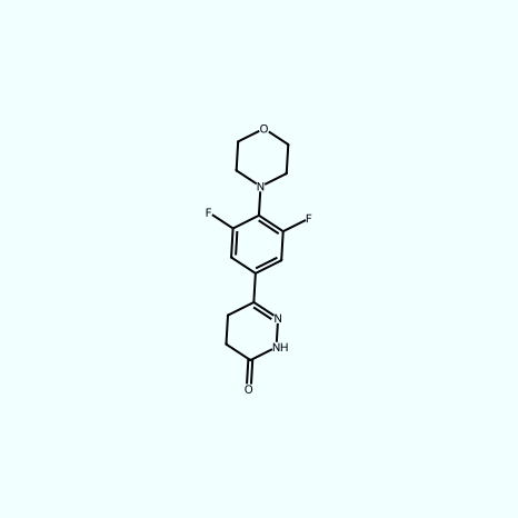 O=C1CCC(c2cc(F)c(N3CCOCC3)c(F)c2)=NN1